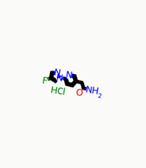 Cl.NC(=O)Cc1ccc(-n2cc(F)cn2)nc1